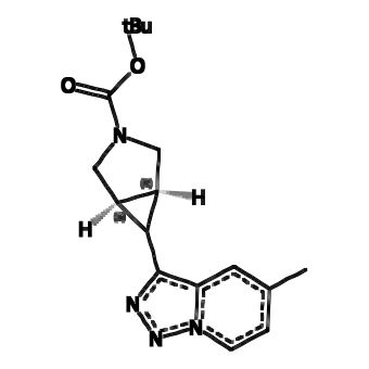 Cc1ccn2nnc(C3[C@H]4CN(C(=O)OC(C)(C)C)C[C@@H]34)c2c1